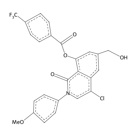 COc1ccc(-n2cc(Cl)c3cc(CO)cc(OC(=O)c4ccc(C(F)(F)F)cc4)c3c2=O)cc1